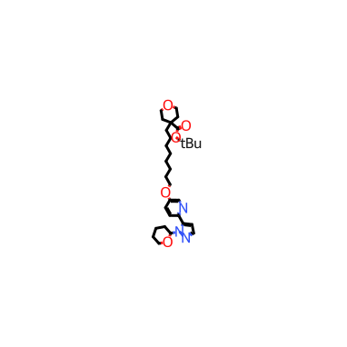 CC(C)(C)OC(=O)C1(CCCCCCCCOc2ccc(-c3ccnn3C3CCCCO3)nc2)CCOCC1